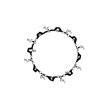 CN1Cc2ccc([nH]2)CN(C)Cc2ccc([nH]2)CN(C)Cc2ccc([nH]2)CN(C)Cc2ccc([nH]2)CN(C)Cc2ccc([nH]2)CN(C)Cc2ccc([nH]2)CN(C)Cc2ccc([nH]2)CN(C)Cc2ccc([nH]2)C1